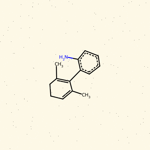 CC1=CCCC(C)=C1c1ccccc1N